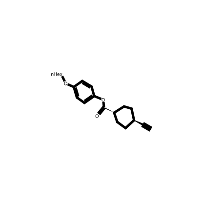 C#C[C@H]1CC[C@H](C(=O)Oc2ccc(OCCCCCC)cc2)CC1